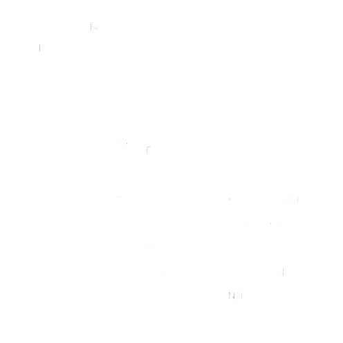 COC(=O)C1=C(C)NC2=C(C(=O)CCC2)C1c1ccc(F)c(Br)c1.O=Cc1ccc(F)c(Br)c1